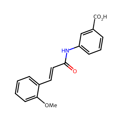 COc1ccccc1C=CC(=O)Nc1cccc(C(=O)O)c1